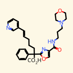 O=C(NCCCN1CCOCC1)c1coc(C(CCCC=Cc2cccnc2)(C(=O)O)c2ccccc2)n1